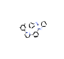 Cc1cc(C)cc(-c2cccc(-c3cccc(-c4nc5ccccc5c5nc6ccccc6n45)c3)n2)c1